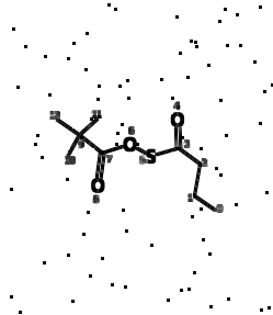 CCCC(=O)SOC(=O)C(C)(C)C